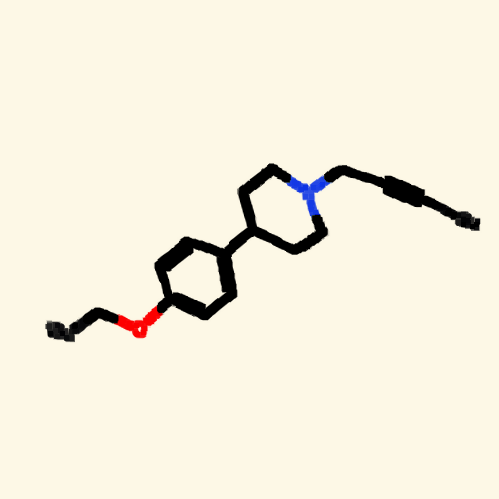 CC(C)(C)C#CCN1CCC(c2ccc(OCC(C)(C)C)cc2)CC1